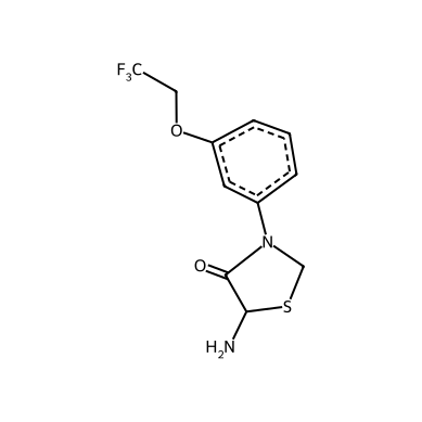 NC1SCN(c2cccc(OCC(F)(F)F)c2)C1=O